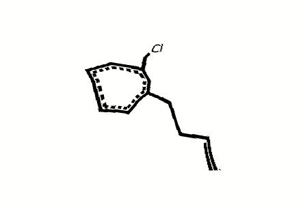 [CH]=CCCc1ccccc1Cl